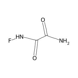 NC(=O)C(=O)NF